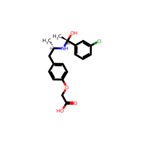 C[C@@H](Cc1ccc(OCC(=O)O)cc1)N[C@](C)(O)c1cccc(Cl)c1